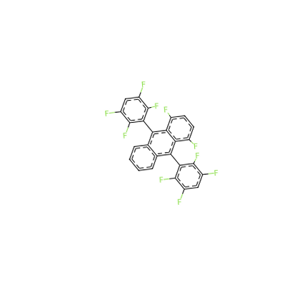 Fc1cc(F)c(F)c(-c2c3ccccc3c(-c3c(F)c(F)cc(F)c3F)c3c(F)ccc(F)c23)c1F